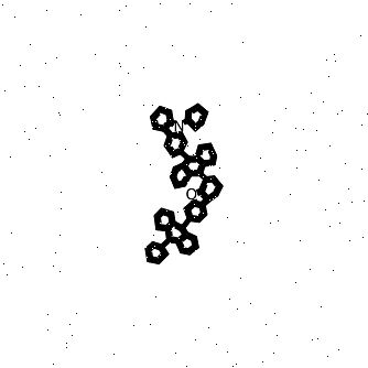 c1ccc(-c2c3ccccc3c(-c3ccc4c(c3)oc3c(-c5c6ccccc6c(-c6ccc7c8ccccc8n(-c8ccccc8)c7c6)c6ccccc56)cccc34)c3ccccc23)cc1